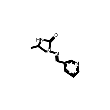 CC1CN(N=Cc2cccnc2)C(=O)N1